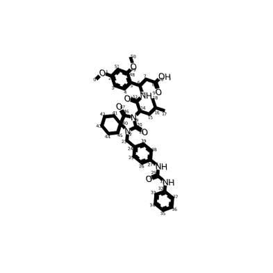 COc1ccc(C(CC(=O)O)NC(=O)C(CC(C)C)N2C(=O)N(Cc3ccc(NC(=O)Nc4ccccc4)cc3)C3(CCCCC3)C2=O)c(OC)c1